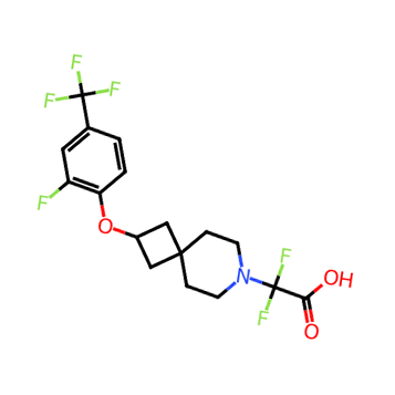 O=C(O)C(F)(F)N1CCC2(CC1)CC(Oc1ccc(C(F)(F)F)cc1F)C2